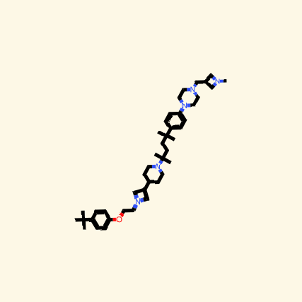 CN1CC(CN2CCN(c3ccc(C(C)(C)CCC(C)(C)N4CCC(C5CN(CCOc6ccc(C(C)(C)C)cc6)C5)CC4)cc3)CC2)C1